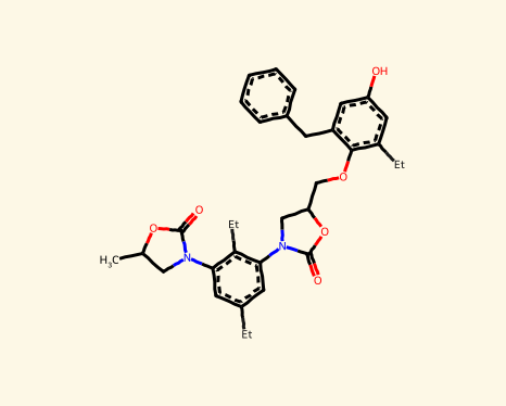 CCc1cc(N2CC(C)OC2=O)c(CC)c(N2CC(COc3c(CC)cc(O)cc3Cc3ccccc3)OC2=O)c1